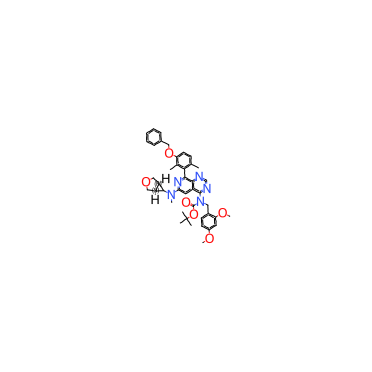 COc1ccc(CN(C(=O)OC(C)(C)C)c2ncnc3c(-c4c(C)ccc(OCc5ccccc5)c4C)nc(N(C)C4[C@H]5COC[C@@H]45)cc23)c(OC)c1